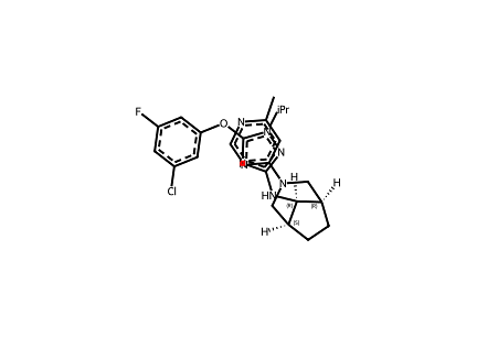 Cc1cc(N2C[C@H]3CC[C@@H](C2)[C@H]3Nc2nc(Oc3cc(F)cc(Cl)c3)n(C(C)C)n2)ncn1